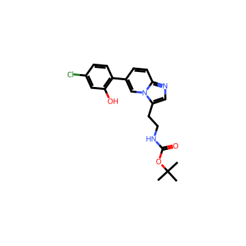 CC(C)(C)OC(=O)NCCc1cnc2ccc(-c3ccc(Cl)cc3O)cn12